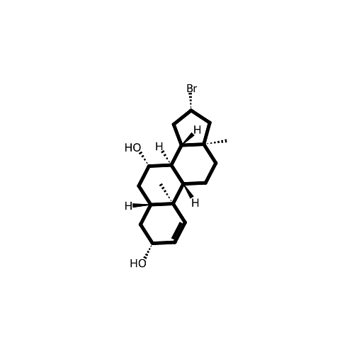 C[C@]12CC[C@H]3[C@@H]([C@@H](O)C[C@H]4C[C@@H](O)C=C[C@@]43C)[C@@H]1C[C@H](Br)C2